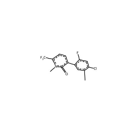 Cc1cc(-c2ccc(C(F)(F)F)n(C)c2=O)c(F)cc1Cl